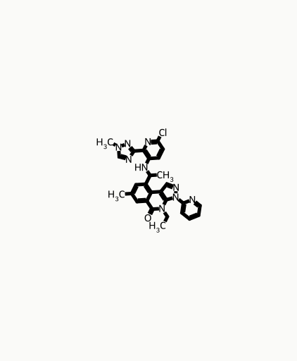 CCn1c(=O)c2cc(C)cc(C(C)Nc3ccc(Cl)nc3-c3ncn(C)n3)c2c2cnn(-c3ccccn3)c21